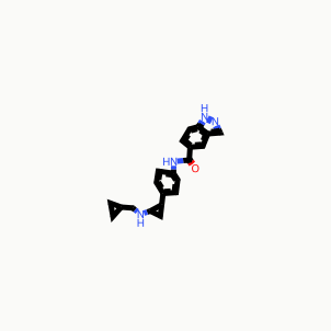 O=C(Nc1ccc(C2CC2NCC2CC2)cc1)c1ccc2[nH]ncc2c1